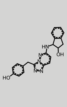 Oc1ccc(Cc2nnc3ccc(NC4c5ccccc5CC4O)nn23)cc1